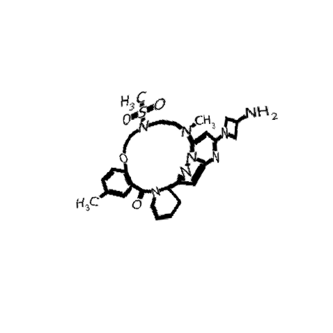 Cc1ccc2c(c1)C(=O)N1CCCCC1c1cc3nc(N4CC(N)C4)cc(n3n1)N(C)CCN(S(C)(=O)=O)CCO2